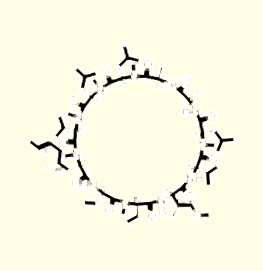 C/C=C/C[C@@H](C)C[C@H]1C(=O)N[C@@H](CC)C(=O)N(C)[C@H](CC)C(=O)N[C@@H]([C@H](C)COC)C(=O)N[C@@H](C(C)C)C(=O)N(C)[C@@H](CC(C)C)C(=O)N[C@@H](C)C(=O)N[C@H](C)C(=O)N(C)[C@@H](CC(C)C)C(=O)N(C)[C@@H](CC(C)C)C(=O)N(C)[C@@H](C(C)C)C(=O)N1C